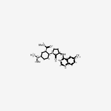 COC(=O)[C@@H]1C[C@H](N(C)C(C)(C)C)CC[C@@H]1N1CCC(Nc2ncnc3ccc(C(F)(F)F)cc23)C1=O